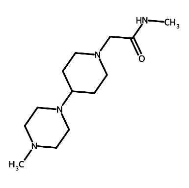 CNC(=O)CN1CCC(N2CCN(C)CC2)CC1